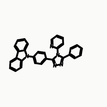 c1ccc(-c2nnc(-c3ccc(-n4c5ccccc5c5ccccc54)cc3)n2-c2ccccn2)cc1